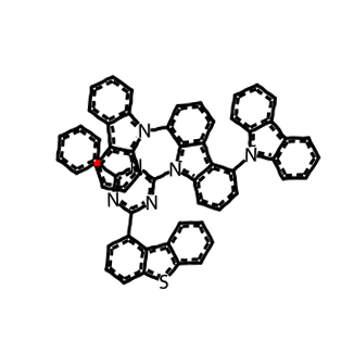 c1ccc(-c2nc(-c3cccc4sc5ccccc5c34)nc(-n3c4cccc(-n5c6ccccc6c6ccccc65)c4c4cccc(-n5c6ccccc6c6ccccc65)c43)n2)cc1